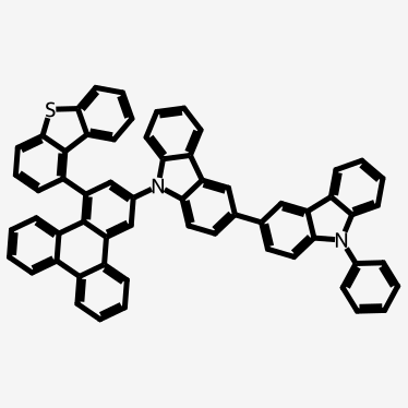 c1ccc(-n2c3ccccc3c3cc(-c4ccc5c(c4)c4ccccc4n5-c4cc(-c5cccc6sc7ccccc7c56)c5c6ccccc6c6ccccc6c5c4)ccc32)cc1